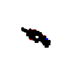 CC#Cc1cc(C)c(C2C(=O)CCCN(C(=O)Cc3ccccn3)CCCC2O)c(C)c1